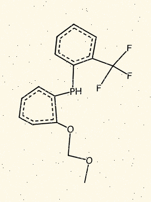 COCOc1ccccc1Pc1ccccc1C(F)(F)F